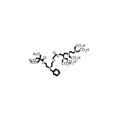 CC(=O)OCC(COC(C)=O)(COC(C)=O)C(=O)OCCN(CCOCC(=O)OCC(CN(CCN(CC(=O)O)CC(=O)O)CC(=O)O)N(CC(=O)O)CC(=O)O)Cc1ccccc1